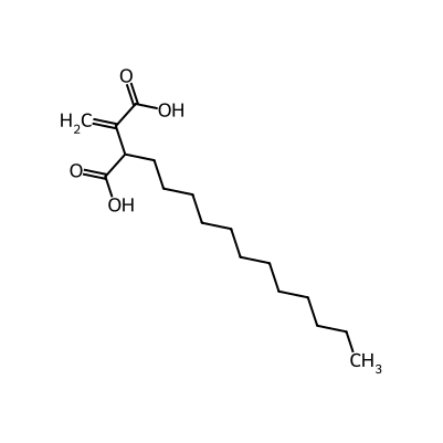 C=C(C(=O)O)C(CCCCCCCCCCCC)C(=O)O